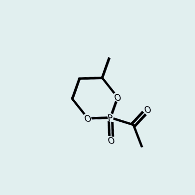 CC(=O)P1(=O)OCCC(C)O1